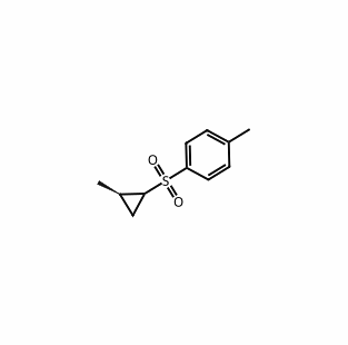 Cc1ccc(S(=O)(=O)C2C[C@H]2C)cc1